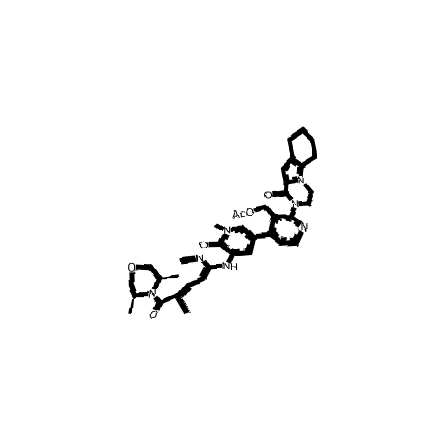 C=N/C(=C\C=C(/C)C(=O)N1[C@H](C)COC[C@@H]1C)Nc1cc(-c2ccnc(N3CCn4c(cc5c4CCCC5)C3=O)c2COC(C)=O)cn(C)c1=O